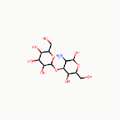 NC1C(O)OC(CO)C(O)C1OC1OC(CO)C(O)C(O)C1O